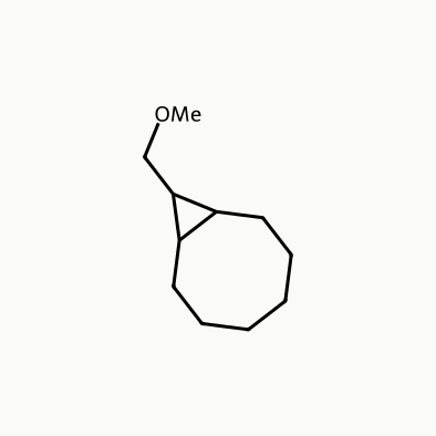 COCC1C2CCCCCCC21